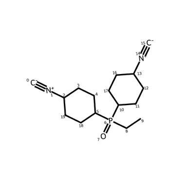 [C-]#[N+]C1CCC(P(=O)(CC)C2CCC([N+]#[C-])CC2)CC1